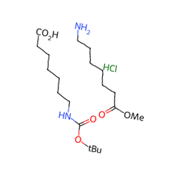 CC(C)(C)OC(=O)NCCCCCCC(=O)O.COC(=O)CCCCCCN.Cl